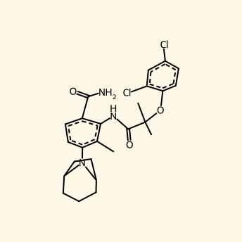 Cc1c(N2C3CCCC2CC3)ccc(C(N)=O)c1NC(=O)C(C)(C)Oc1ccc(Cl)cc1Cl